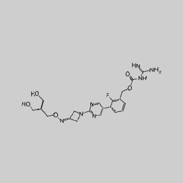 N=C(N)NC(=O)OCc1cccc(-c2cnc(N3CC(=NOCC(CO)CO)C3)nc2)c1F